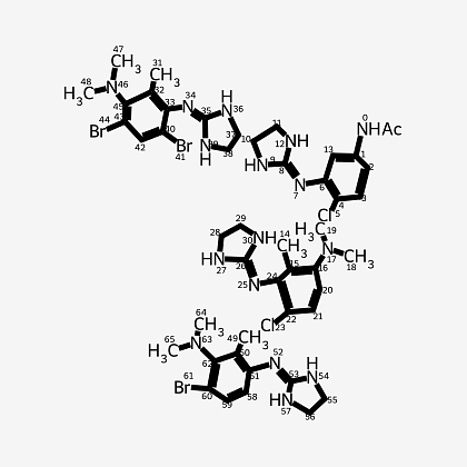 CC(=O)Nc1ccc(Cl)c(N=C2NCCN2)c1.Cc1c(N(C)C)ccc(Cl)c1N=C1NCCN1.Cc1c(N=C2NCCN2)c(Br)cc(Br)c1N(C)C.Cc1c(N=C2NCCN2)ccc(Br)c1N(C)C